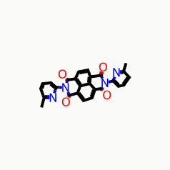 Cc1cccc(N2C(=O)c3ccc4c5c(ccc(c35)C2=O)C(=O)N(c2cccc(C)n2)C4=O)n1